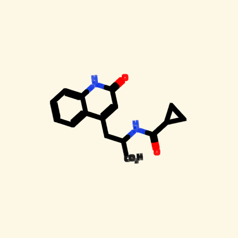 O=C(NC(Cc1cc(=O)[nH]c2ccccc12)C(=O)O)C1CC1